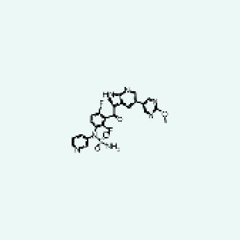 COc1ncc(-c2cnc3[nH]cc(C(=O)c4c(F)ccc(N(c5cccnc5)S(N)(=O)=O)c4F)c3c2)cn1